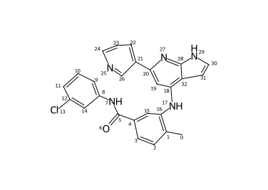 Cc1ccc(C(=O)Nc2cccc(Cl)c2)cc1Nc1cc(-c2cccnc2)nc2[nH]ccc12